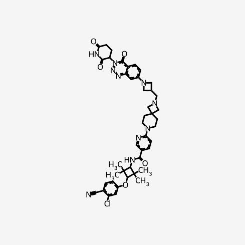 CC1(C)C(NC(=O)c2ccc(N3CCC4(CC3)CN(CC3CN(c5ccc6c(=O)n(C7CCC(=O)NC7=O)nnc6c5)C3)C4)nc2)C(C)(C)C1Oc1ccc(C#N)c(Cl)c1